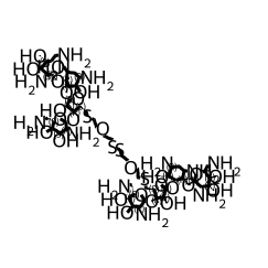 NCC1O[C@H](O[C@@H]2C(N)C[C@@H](N)C(O)[C@H]2O[C@@H]2O[C@H](CSCCOCCSSCCOCCSC[C@H]3O[C@@H](OC4[C@H](O[C@H]5OC(CN)[C@@H](O)[C@H](O)C5N)C(N)C[C@@H](N)[C@H]4O)[C@@H](O)[C@H]3OC3O[C@@H](CN)[C@@H](O)C(O)[C@H]3N)[C@H](OC3O[C@@H](CN)C(O)[C@@H](O)[C@H]3N)[C@@H]2O)[C@@H](N)C(O)[C@@H]1O